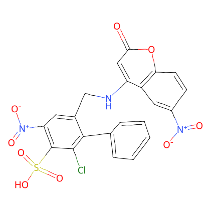 O=c1cc(NCc2cc([N+](=O)[O-])c(S(=O)(=O)O)c(Cl)c2-c2ccccc2)c2cc([N+](=O)[O-])ccc2o1